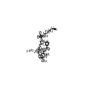 C#CCOCCOCCNc1c(NCCCCCCO[C@]2(C(=O)O)C[C@H](O)[C@@H](NC(=O)CO)[C@H]([C@H](O)[C@H](O)CNC(=O)c3cccc(F)c3)O2)c(=O)c1=O